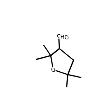 CC1(C)CC(C=O)C(C)(C)O1